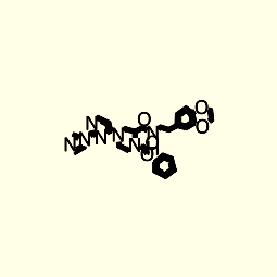 O=C(NCCc1ccc2c(c1)OCCO2)C1CN(c2ccnc(-n3ccnc3)n2)CCN1C(=O)Oc1ccccc1